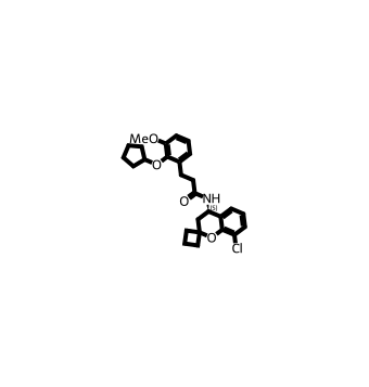 COc1cccc(CCC(=O)N[C@H]2CC3(CCC3)Oc3c(Cl)cccc32)c1OC1CCCC1